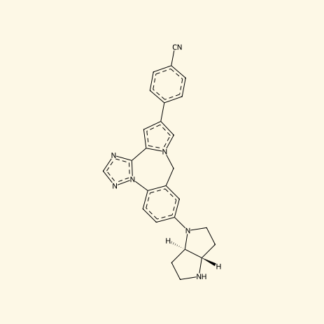 N#Cc1ccc(-c2cc3n(c2)Cc2cc(N4CC[C@@H]5NCC[C@H]54)ccc2-n2ncnc2-3)cc1